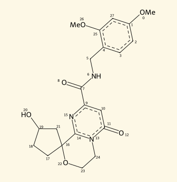 COc1ccc(CNC(=O)c2cc(=O)n3c(n2)C2(CCC(O)C2)OCC3)c(OC)c1